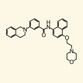 O=C(Nc1ccc(OCCN2CCOCC2)c2ccccc12)c1cccc(N2CCc3ccccc3C2)c1